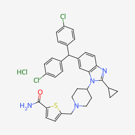 Cl.NC(=O)c1ccc(CN2CCC(n3c(C4CC4)nc4ccc(C(c5ccc(Cl)cc5)c5ccc(Cl)cc5)cc43)CC2)s1